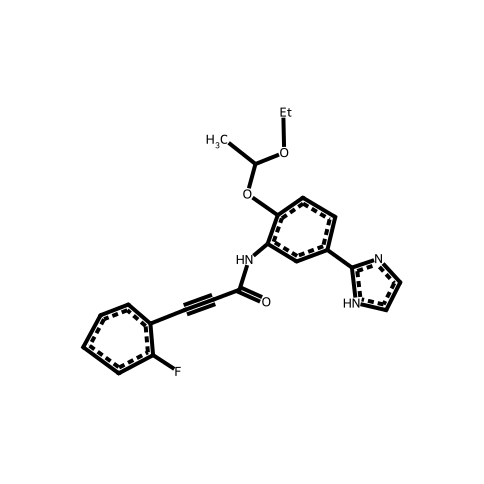 CCOC(C)Oc1ccc(-c2ncc[nH]2)cc1NC(=O)C#Cc1ccccc1F